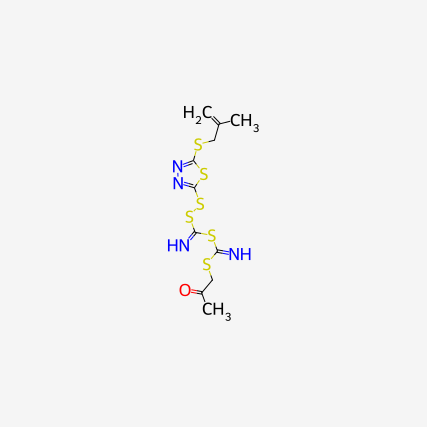 C=C(C)CSc1nnc(SSC(=N)SC(=N)SCC(C)=O)s1